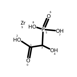 O=C(O)C(O)P(=O)(O)O.[Zr]